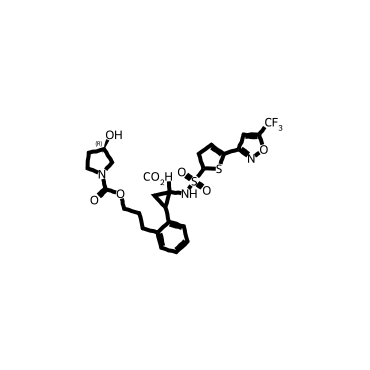 O=C(OCCCc1ccccc1C1CC1(NS(=O)(=O)C1CC=C(c2cc(C(F)(F)F)on2)S1)C(=O)O)N1CC[C@@H](O)C1